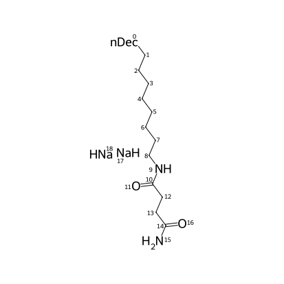 CCCCCCCCCCCCCCCCCCNC(=O)CCC(N)=O.[NaH].[NaH]